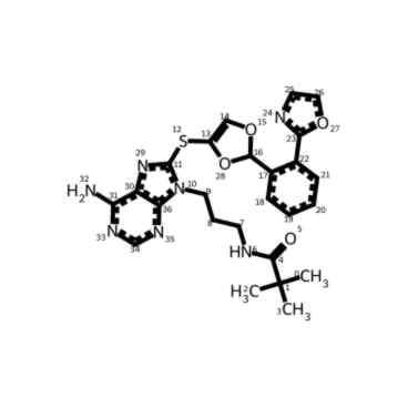 CC(C)(C)C(=O)NCCCn1c(SC2=COC(c3ccccc3-c3ncco3)O2)nc2c(N)ncnc21